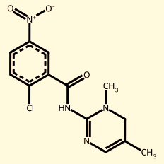 CC1=CN=C(NC(=O)c2cc([N+](=O)[O-])ccc2Cl)N(C)C1